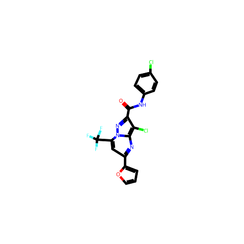 O=C(Nc1ccc(Cl)cc1)c1nn2c(C(F)(F)F)cc(-c3ccco3)nc2c1Cl